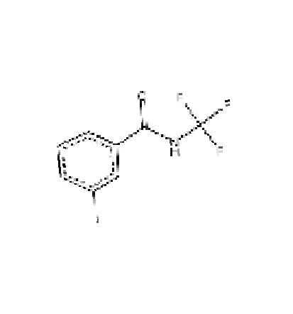 Cc1cccc(C(=O)NC(F)(F)F)c1